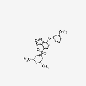 CCOc1cccc(Sc2ccc(S(=O)(=O)N3CC(C)CC(C)C3)c3nonc23)c1